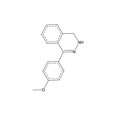 COc1ccc(C2=NNCc3ccccc32)cc1